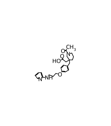 CC(=O)N1CCCC(CC(=O)O)(Cc2ccc(OCCCNc3ccccn3)cc2)C1